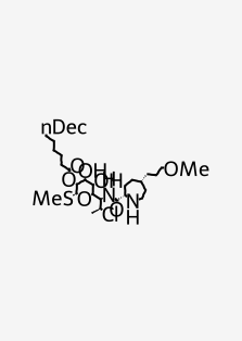 CCCCCCCCCCCCCCCC(=O)O[C@@H]1[C@@H](O)[C@@H](O)[C@@H]([C@H](NC(=O)[C@@H]2CC[C@H](CCCOC)CCN2)[C@H](C)Cl)O[C@@H]1SC